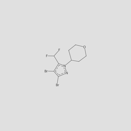 FC(F)c1c(Br)c(Br)nn1C1CCOCC1